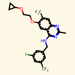 Cc1nc(NCc2cc(F)cc(C(F)(F)F)c2)c2cc(OCCOC3CC3)c(C(F)(F)F)cc2n1